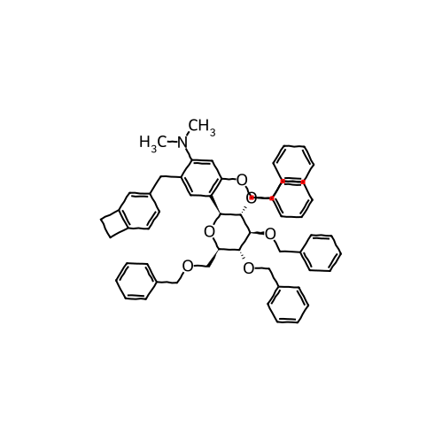 CN(C)c1cc(OCc2ccccc2)c([C@@H]2O[C@H](COCc3ccccc3)[C@@H](OCc3ccccc3)[C@H](OCc3ccccc3)[C@H]2OCc2ccccc2)cc1Cc1ccc2c(c1)CC2